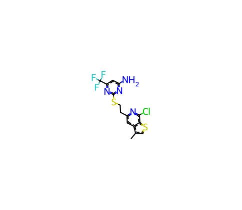 Cc1csc2c(Cl)nc(CCSc3nc(N)cc(C(F)(F)F)n3)cc12